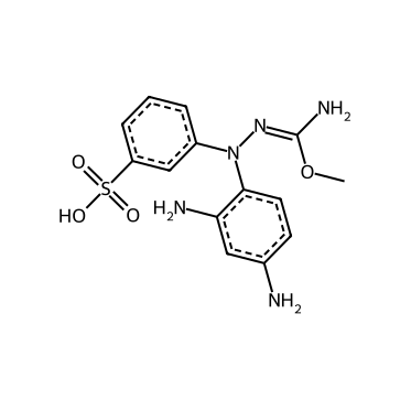 COC(N)=NN(c1cccc(S(=O)(=O)O)c1)c1ccc(N)cc1N